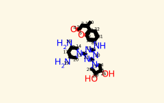 Cc1cc(=O)oc2cc(Nc3nc(N4C[C@H](N)C[C@H](N)C4)nc(N4C[C@@H](O)[C@@H](O)C4)n3)ccc12